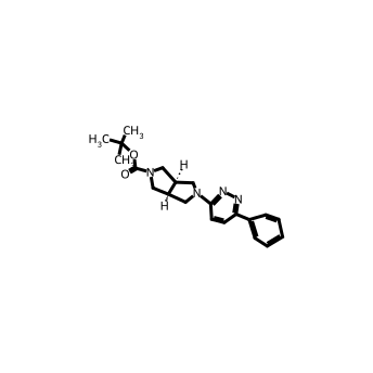 CC(C)(C)OC(=O)N1C[C@@H]2CN(c3ccc(-c4ccccc4)nn3)C[C@@H]2C1